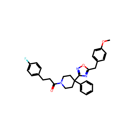 COc1ccc(Cc2nc(C3(c4ccccc4)CCN(C(=O)CCc4ccc(F)cc4)CC3)no2)cc1